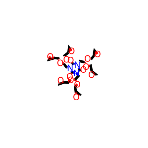 O=c1n(CC(OCC2CO2)OCC2CO2)c(=O)n(CC(OCC2CO2)OCC2CO2)c(=O)n1CC(OCC1CO1)OCC1CO1